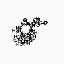 CC(c1ccccc1)C1NC(=O)CNC(=O)C(CO)NC(=O)C(C(O)C2CNC(=N)N2C2OC(CO)C(O)C(O)C2O)NC(=O)C(C(O)C2CNC(=N)N2)NC(=O)C(Cc2ccc(O)c(NC(=O)OCc3ccccc3)c2)NC1=O